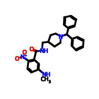 CNc1ccc([N+](=O)[O-])c(C(=O)NCC2CCN(C(c3ccccc3)c3ccccc3)CC2)c1